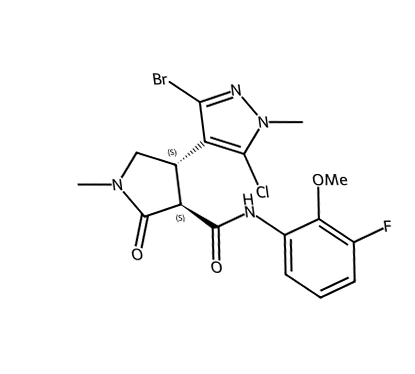 COc1c(F)cccc1NC(=O)[C@H]1C(=O)N(C)C[C@@H]1c1c(Br)nn(C)c1Cl